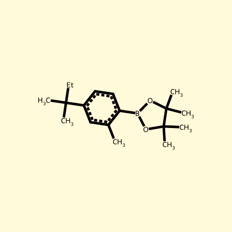 CCC(C)(C)c1ccc(B2OC(C)(C)C(C)(C)O2)c(C)c1